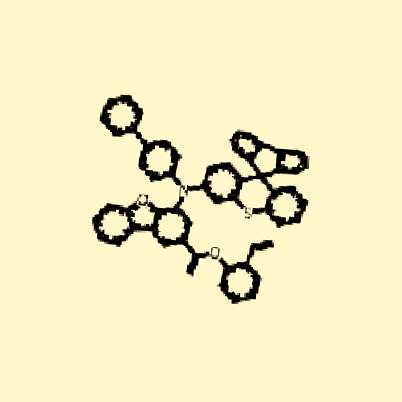 C=Cc1ccccc1OC(=C)c1cc(N(c2ccc(-c3ccccc3)cc2)c2ccc3c(c2)Sc2ccccc2C32c3ccccc3-c3ccccc32)c2oc3ccccc3c2c1